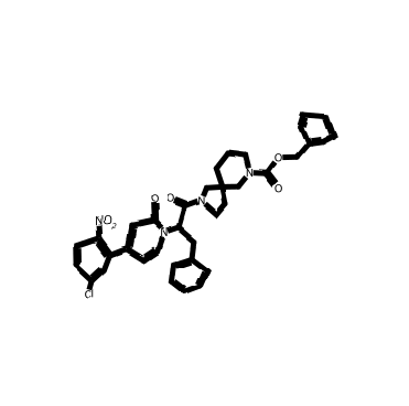 O=C(OCc1ccccc1)N1CCCC2(CCN(C(=O)C(Cc3ccccc3)n3ccc(-c4cc(Cl)ccc4[N+](=O)[O-])cc3=O)C2)C1